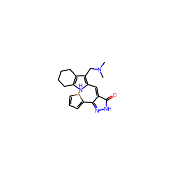 CN(C)Cc1c(/C=C2/C(=O)NN=C2c2cccs2)[nH]c2c1CCCC2